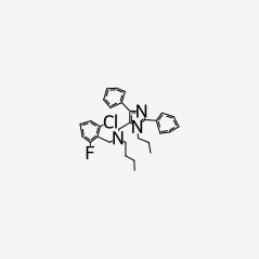 CCCCN(Cc1c(F)cccc1Cl)Cc1c(-c2ccccc2)nc(-c2ccccc2)n1CCC